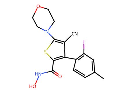 Cc1ccc(-c2c(C(=O)NO)sc(N3CCOCC3)c2C#N)c(I)c1